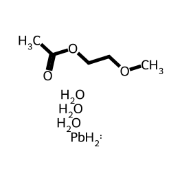 COCCOC(C)=O.O.O.O.[PbH2]